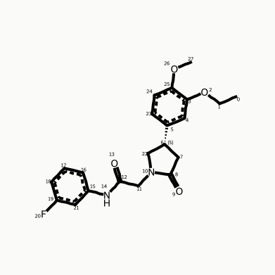 CCOc1cc([C@@H]2CC(=O)N(CC(=O)Nc3cccc(F)c3)C2)ccc1OC